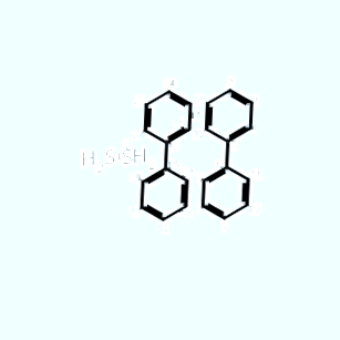 S.S.c1ccc(-c2ccccc2)cc1.c1ccc(-c2ccccc2)cc1